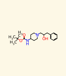 CC(C)(C)OC(=O)NC1CCN(CC(O)Cc2ccccc2)CC1